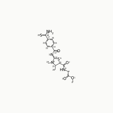 COC(=O)CNC(=O)C1SC(=NC(=O)c2ccc(C(N)=S)cc2)N(C)C1C